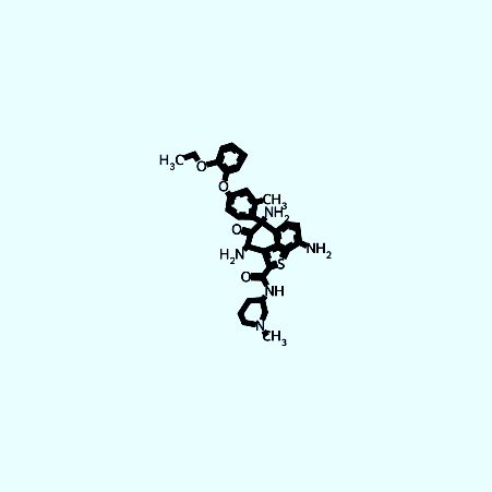 CCOc1ccccc1Oc1ccc(C2(N)C(=O)C(N)c3c(C(=O)NC4CCCN(C)C4)sc4c(N)ccc2c34)c(C)c1